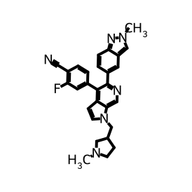 CN1CCC(Cn2ccc3c(-c4ccc(C#N)c(F)c4)c(-c4ccc5nn(C)cc5c4)ncc32)C1